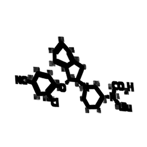 CC(C)(C)N(C(=O)O)[C@@H]1CCCN([C@@H]2Cc3ccccc3[C@H]2Oc2ccc(C#N)cc2Cl)C1